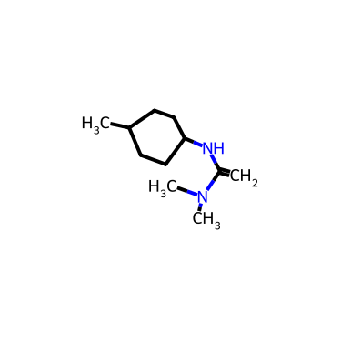 C=C(NC1CCC(C)CC1)N(C)C